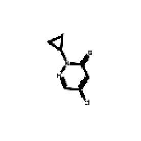 O=c1cc(Cl)cnn1C1CC1